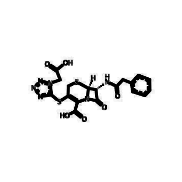 O=C(O)Cn1nnnc1SC1=C(C(=O)O)N2C(=O)[C@@H](NC(=O)Cc3ccccc3)[C@@H]2SC1